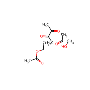 CC(=O)C(C)=O.CC=O.CCOC(C)=O.CO